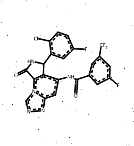 O=C(Nc1cc2nncn2c2c1C(c1cc(F)ccc1Cl)NC2=O)c1cc(F)cc(C(F)(F)F)c1